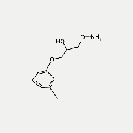 Cc1cccc(OCC(O)CON)c1